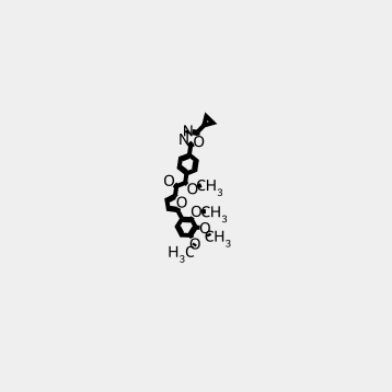 COc1ccc(-c2ccc(C(=O)C(OC)c3ccc(-c4nnc(C5CC5)o4)cc3)o2)c(OC)c1OC